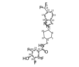 O=C(NCC1CCC(n2cc3ccc(C(F)F)cc3n2)CC1)c1cc(F)c(O)c(F)c1F